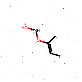 C/C=C(\C)OBO